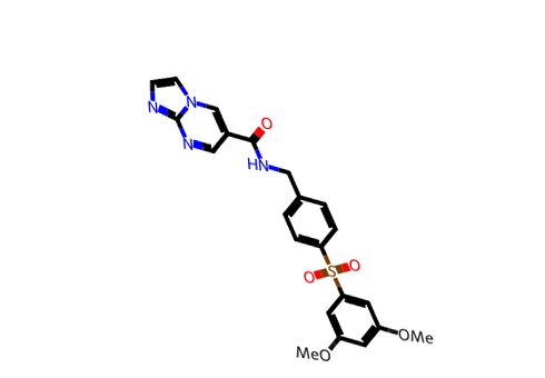 COc1cc(OC)cc(S(=O)(=O)c2ccc(CNC(=O)c3cnc4nccn4c3)cc2)c1